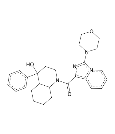 O=C(c1nc(N2CCOCC2)n2ccccc12)N1CCC(O)(c2ccccc2)C2CCCCC21